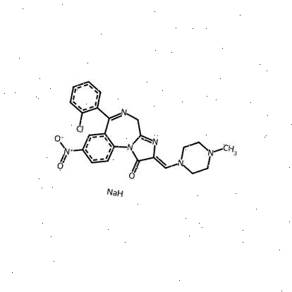 CN1CCN(/C=C2\N=C3CN=C(c4ccccc4Cl)c4cc([N+](=O)[O-])ccc4N3C2=O)CC1.[NaH]